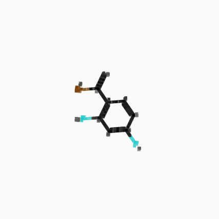 C=C(Br)c1ccc(F)cc1F